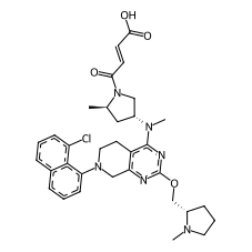 C[C@@H]1C[C@@H](N(C)c2nc(OC[C@@H]3CCCN3C)nc3c2CCN(c2cccc4cccc(Cl)c24)C3)CN1C(=O)/C=C/C(=O)O